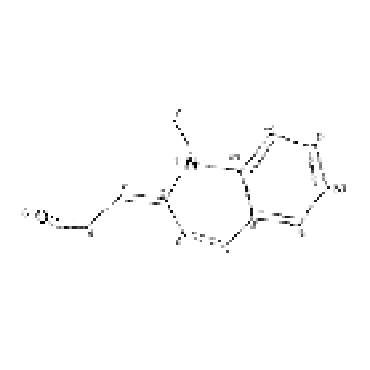 CN1/C(=C/C=O)C=Cc2ccccc21